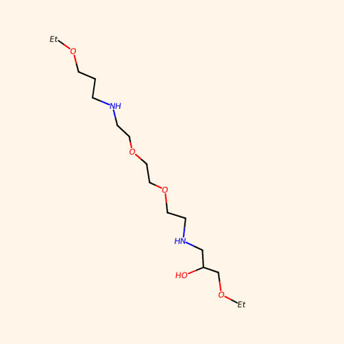 CCOCCCNCCOCCOCCNCC(O)COCC